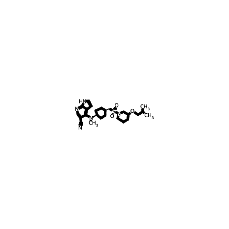 CC(C)COC1CCCN(S(=O)(=O)C[C@H]2CC[C@H](N(C)c3c(C#N)cnc4[nH]ccc34)CC2)C1